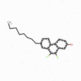 CCCCCCCCc1ccc2c(c1)c(F)c(F)c1cc(Br)ccc12